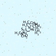 CN(C)N1C(=O)C(=Cc2nc(C(C)(C)C)c(O)c(C(C)(C)C)n2)SC1=S